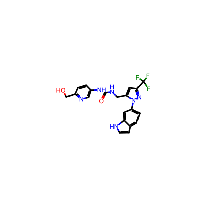 O=C(NCc1cc(C(F)(F)F)nn1-c1ccc2cc[nH]c2c1)Nc1ccc(CO)nc1